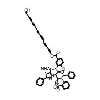 C#CC#CC#CC#CC#CC#CC#COC(=O)c1ccc(Cl)c(NC(=O)C(C2=NS(=O)(=O)c3ccccc3N2Cc2ccccc2)n2nc(-c3ccccc3)nc2NC(C)=O)c1